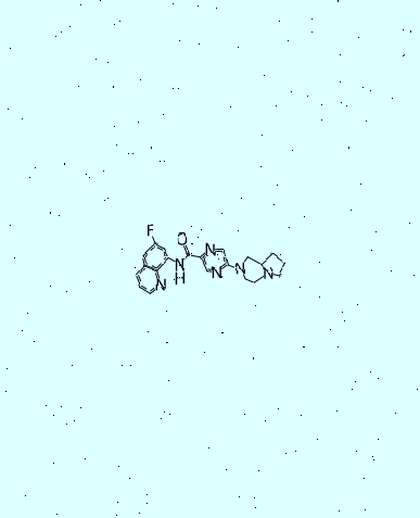 O=C(Nc1cc(F)cc2cccnc12)c1cnc(N2CCN3CCCC3C2)cn1